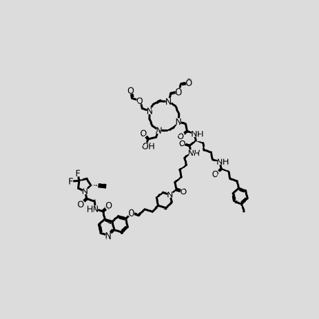 C#C[C@H]1CC(F)(F)CN1C(=O)CNC(=O)c1ccnc2ccc(OCCCC3CCN(C(=O)CCCCCNC(=O)[C@H](CCCCNC(=O)CCCc4ccc(C)cc4)NC(=O)CN4CCN(COC=O)CCN(COC=O)CCN(CC(=O)O)CC4)CC3)cc12